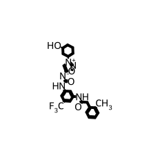 Cc1ccccc1CC(=O)Nc1cc(NC(=O)[N-]c2c[n+]([C@@H]3CCC[C@H](O)C3)no2)cc(C(F)(F)F)c1